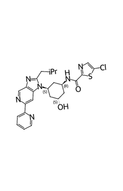 CC(C)Cc1nc2cnc(-c3ccccn3)cc2n1[C@@H]1C[C@@H](O)C[C@H](NC(=O)c2ncc(Cl)s2)C1